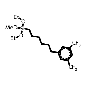 CCO[Si](CCCCCCc1cc(C(F)(F)F)cc(C(F)(F)F)c1)(OC)OCC